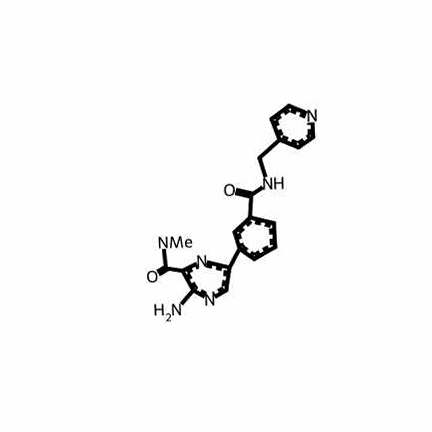 CNC(=O)c1nc(-c2cccc(C(=O)NCc3ccncc3)c2)cnc1N